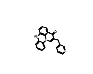 O=c1c(Cc2cccnc2)cn2c3c(cccc13)Nc1ccccc1-2